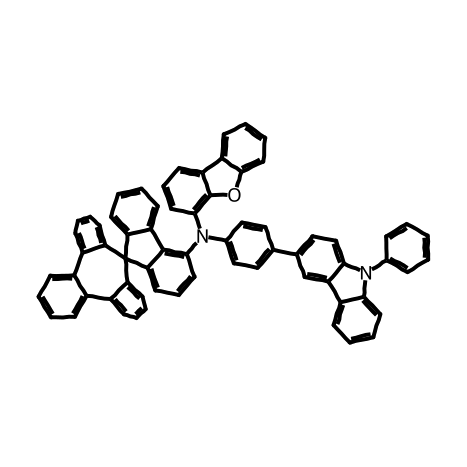 c1ccc(-n2c3ccccc3c3cc(-c4ccc(N(c5cccc6c5-c5ccccc5C65c6ccccc6-c6ccccc6-c6ccccc65)c5cccc6c5oc5ccccc56)cc4)ccc32)cc1